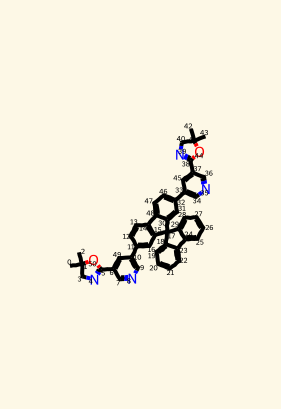 CC1(C)CN=C(c2cncc(-c3ccc4c(c3)C3(c5ccccc5-c5ccccc53)c3cc(-c5cncc(C6=NCC(C)(C)O6)c5)ccc3-4)c2)O1